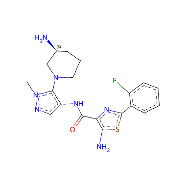 Cn1ncc(NC(=O)c2nc(-c3ccccc3F)sc2N)c1N1CCC[C@H](N)C1